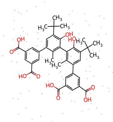 Cc1c(-c2cc(C(=O)O)cc(C(=O)O)c2)cc(C(C)(C)C)c(O)c1-c1c(C)c(-c2cc(C(=O)O)cc(C(=O)O)c2)cc(C(C)(C)C)c1O